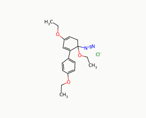 CCOC1=CCC([N+]#N)(OCC)C(c2ccc(OCC)cc2)=C1.[Cl-]